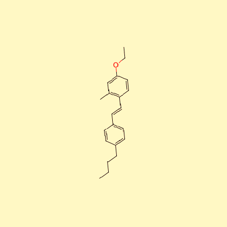 CCCCc1ccc(/C=C/c2ccc(OCC)cc2C)cc1